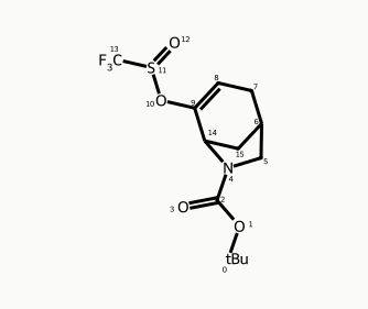 CC(C)(C)OC(=O)N1CC2CC=C(OS(=O)C(F)(F)F)C1C2